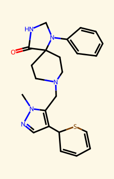 Cn1ncc(C2C=CC=CS2)c1CN1CCC2(CC1)C(=O)NCN2c1ccccc1